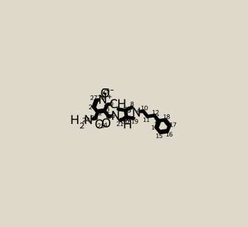 Cc1c(C(=O)N2CC3CN(CC[CH]c4ccccc4)C[C@H]3C2)c(C(N)=O)cc[n+]1[O-]